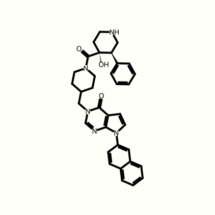 O=C(N1CCC(Cn2cnc3c(ccn3-c3ccc4ccccc4c3)c2=O)CC1)[C@@]1(O)CCNC[C@H]1c1ccccc1